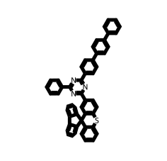 c1ccc(-c2ccc(-c3ccc(-c4nc(-c5ccccc5)nc(-c5ccc6c(c5)C5(c7ccccc7S6)c6ccccc6-c6ccccc65)n4)cc3)cc2)cc1